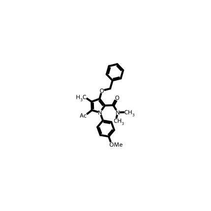 COc1ccc(-n2c(C(C)=O)c(C)c(OCc3ccccc3)c2C(=O)N(C)C)cc1